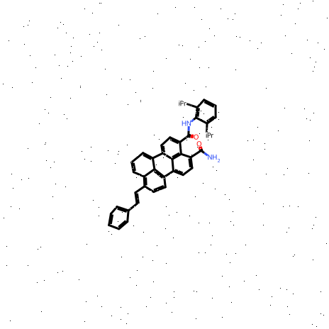 CC(C)c1cccc(C(C)C)c1NC(=O)c1ccc2c3cccc4c(C=Cc5ccccc5)ccc(c5ccc(C(N)=O)c1c52)c43